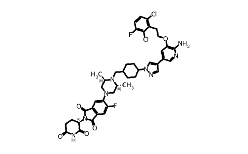 C[C@@H]1CN(c2cc3c(cc2F)C(=O)N([C@@H]2CCC(=O)NC2=O)C3=O)C[C@@H](C)N1CC1CCC(n2cc(-c3cnc(N)c(OCCc4c(Cl)ccc(F)c4Cl)c3)cn2)CC1